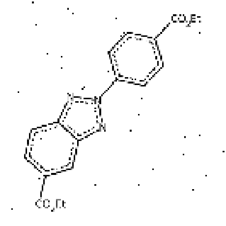 CCOC(=O)c1ccc(-n2nc3ccc(C(=O)OCC)cc3n2)cc1